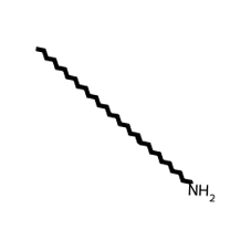 CCCCCCCCCCCCCCCCCCCC=CCCCCCCCCCN